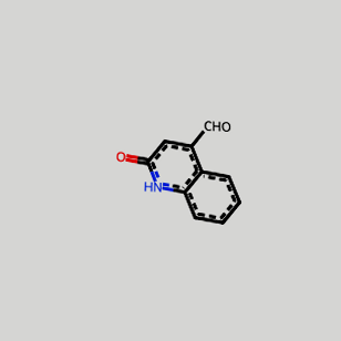 O=Cc1cc(=O)[nH]c2ccccc12